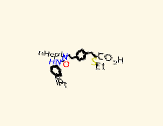 CCCCCCCN(CCc1ccc(C[C@H](SCC)C(=O)O)cc1)C(=O)Nc1ccc(C(C)C)cc1